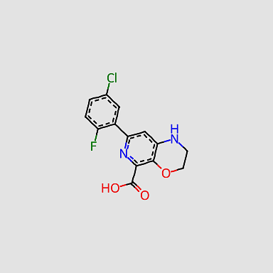 O=C(O)c1nc(-c2cc(Cl)ccc2F)cc2c1OCCN2